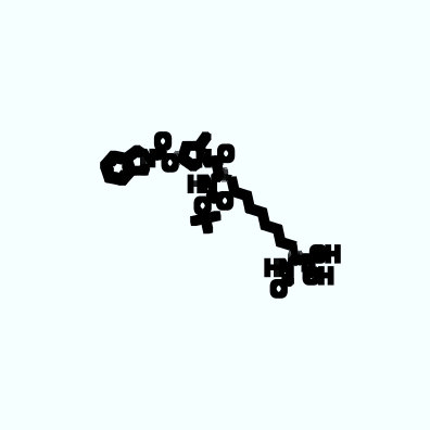 CC1C[C@@H](OC(=O)N2Cc3ccccc3C2)CN1C(=O)[C@H](CCCCCCCCC[C@H](NC=O)B(O)O)NC(=O)OC(C)(C)C